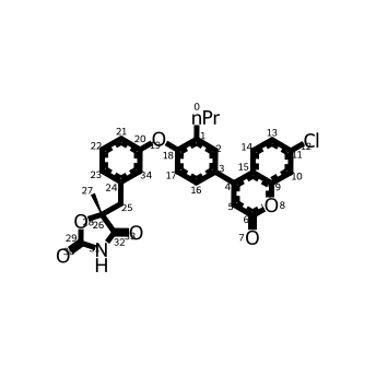 CCCc1cc(-c2cc(=O)oc3cc(Cl)ccc23)ccc1Oc1cccc(C[C@@]2(C)OC(=O)NC2=O)c1